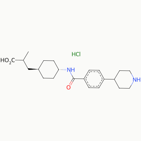 CC(C[C@H]1CC[C@H](NC(=O)c2ccc(C3CCNCC3)cc2)CC1)C(=O)O.Cl